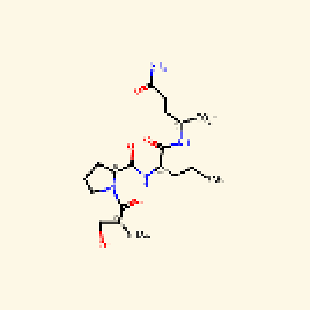 CSCC[C@H](NC(=O)[C@@H]1CCCN1C(=O)[C@H](CO)NC(C)=O)C(=O)N[C@@H](CCC(N)=O)C(=O)O